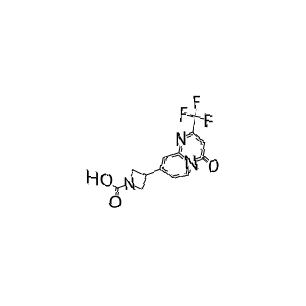 O=C(O)N1CC(c2ccn3c(=O)cc(C(F)(F)F)nc3c2)C1